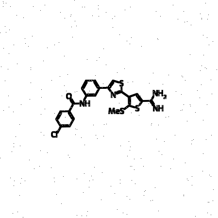 CSc1sc(C(=N)N)cc1-c1nc(-c2cccc(NC(=O)c3ccc(Cl)cc3)c2)cs1